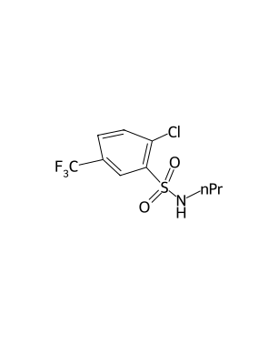 CCCNS(=O)(=O)c1cc(C(F)(F)F)ccc1Cl